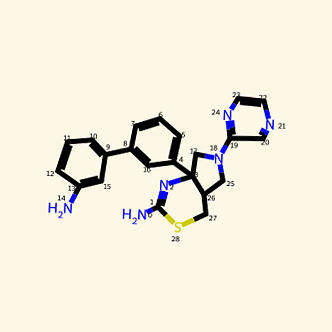 NC1=NC2(c3cccc(-c4cccc(N)c4)c3)CN(c3cnccn3)CC2CS1